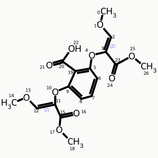 CO/C=C(\Oc1cccc(O/C(=C\OC)C(=O)OC)c1C(=O)O)C(=O)OC